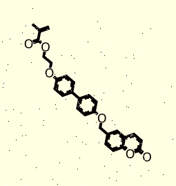 C=C(C)C(=O)OCCOc1ccc(-c2ccc(OCc3ccc4oc(=O)ccc4c3)cc2)cc1